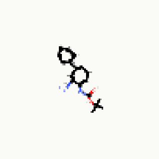 CC(C)(C)OC(=O)NC1=CCC=C(c2ccccc2)C=C1N